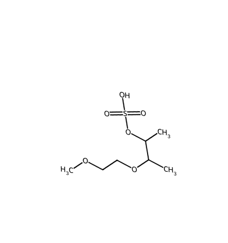 COCCOC(C)C(C)OS(=O)(=O)O